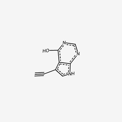 C#Cc1c[nH]c2ncnc(O)c12